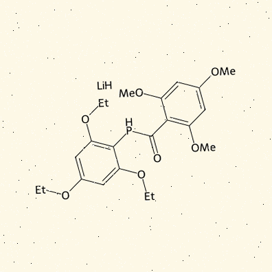 CCOc1cc(OCC)c(PC(=O)c2c(OC)cc(OC)cc2OC)c(OCC)c1.[LiH]